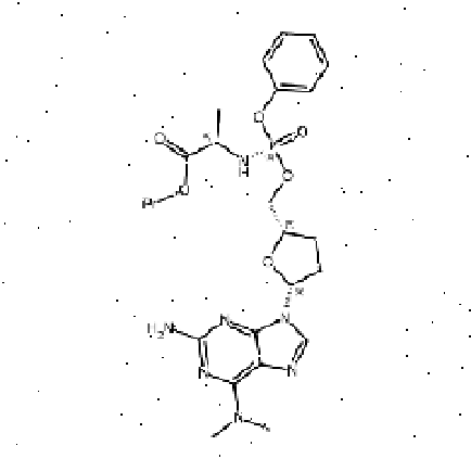 CC(C)OC(=O)[C@@H](C)N[P@](=O)(OC[C@@H]1CC[C@H](n2cnc3c(N(C)C)nc(N)nc32)O1)Oc1ccccc1